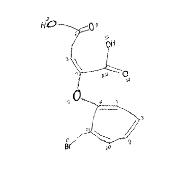 O=C(O)C=C(Oc1ccccc1Br)C(=O)O